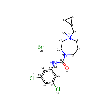 C[N+]1(CC2CC2)CCCN(C(=O)Nc2cc(Cl)cc(Cl)c2)CC1.[Br-]